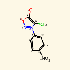 O=[N+]([O-])c1ccc(-[n+]2noc(O)c2Cl)cc1